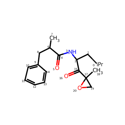 CC(C)CC(NC(=O)C(C)Cc1ccccc1)C(=O)C1(C)CO1